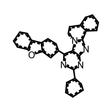 c1ccc(-c2nc(-c3ccc4c(c3)oc3ccccc34)c3c(n2)nc2c4ccccc4ccn23)cc1